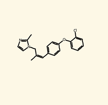 CC(=Cc1ccc(Oc2ccccc2Cl)cc1)Cn1ccnc1C